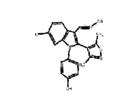 Cc1noc(C)c1-c1c(/C=N/O)c2ccc(Cl)cc2n1-c1ccc(O)cc1